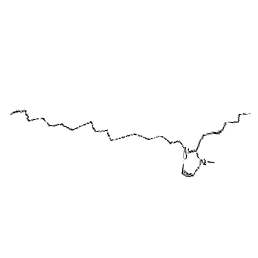 CCCCCCCCCCCCCCCCN1C=CN(C)C1CCCCCC